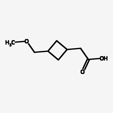 COCC1CC(CC(=O)O)C1